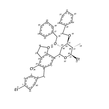 CCc1ccc(Cc2cc(C3O[C@H](CC)[C@@H](C)[C@H](OCc4ccccc4)[C@H]3OCc3ccccc3)c3c(c2Cl)CCO3)cc1